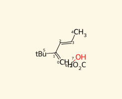 C=C(C=CC)C(C)(C)C.O=C(O)O